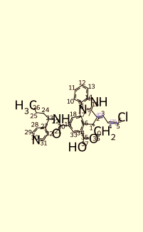 C=C(/C(=C\C=C/Cl)c1nc2ccccc2[nH]1)c1ccc(C(=O)NC(CCC)c2ccncc2)cc1C(=O)O